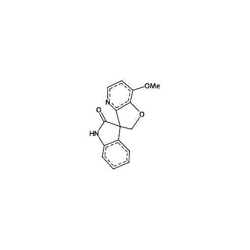 COc1ccnc2c1OCC21C(=O)Nc2ccccc21